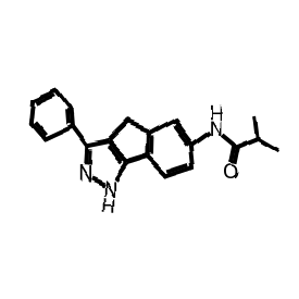 CC(C)C(=O)Nc1ccc2c(c1)Cc1c(-c3ccccc3)n[nH]c1-2